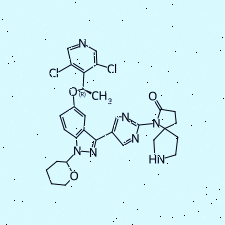 C[C@@H](Oc1ccc2c(c1)c(-c1cnc(N3C(=O)CCC34CCNCC4)nc1)nn2C1CCCCO1)c1c(Cl)cncc1Cl